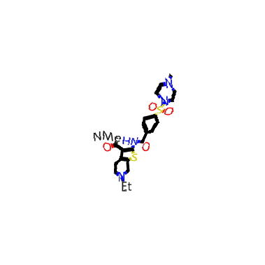 CCN1CCc2c(sc(NC(=O)c3ccc(S(=O)(=O)N4CCN(C)CC4)cc3)c2C(=O)NC)C1